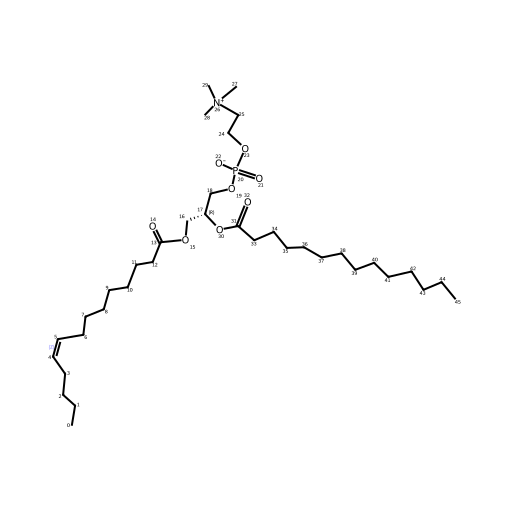 CCCC/C=C\CCCCCCCC(=O)OC[C@H](COP(=O)([O-])OCC[N+](C)(C)C)OC(=O)CCCCCCCCCCCCC